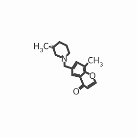 Cc1cc(CN2CCC[C@H](C)C2)cc2c(=O)ccoc12